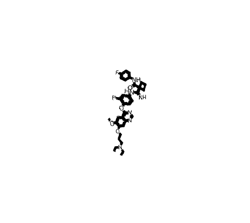 CCN(CC)CCCOc1cc2ncnc(Oc3ccc(NC(=N)C4(C(=O)Nc5ccc(F)cc5)CCC4)cc3F)c2cc1OC